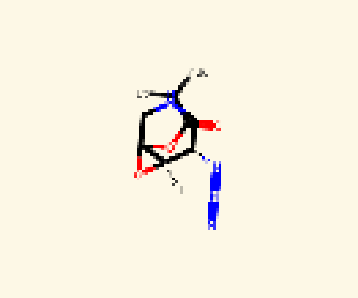 CCCCC(CC)C(=O)O[C@@]12CNC[C@H](N=[N+]=[N-])[C@H]1O2